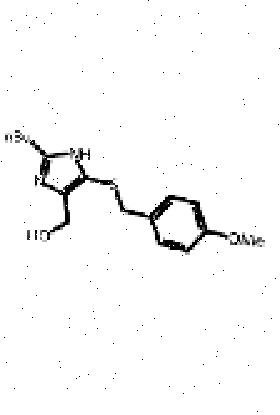 CCCCc1nc(CO)c(SCc2ccc(OC)cc2)[nH]1